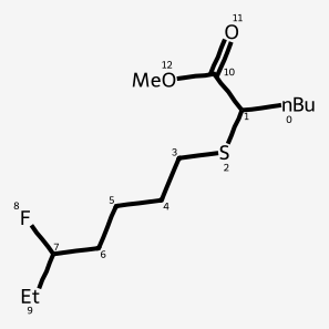 CCCCC(SCCCCC(F)CC)C(=O)OC